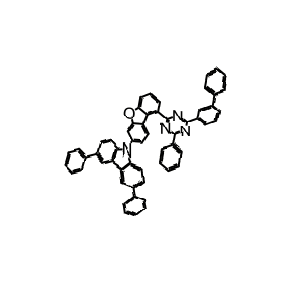 c1ccc(-c2cccc(-c3nc(-c4ccccc4)nc(-c4cccc5oc6cc(-n7c8ccc(-c9ccccc9)cc8c8cc(-c9ccccc9)ccc87)ccc6c45)n3)c2)cc1